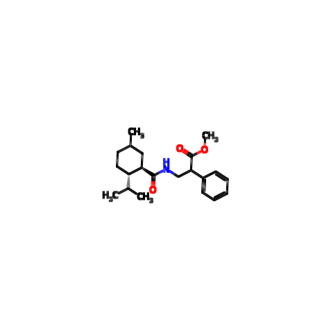 COC(=O)C(CNC(=O)[C@@H]1CC(C)CC[C@H]1C(C)C)c1ccccc1